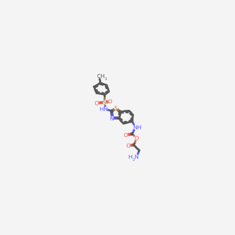 Cc1ccc(S(=O)(=O)Nc2nc3cc(NC(=O)OC(=O)CN)ccc3s2)cc1